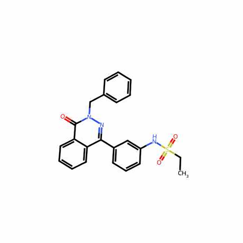 CCS(=O)(=O)Nc1cccc(-c2nn(Cc3ccccc3)c(=O)c3ccccc23)c1